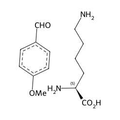 COc1ccc(C=O)cc1.NCCCC[C@H](N)C(=O)O